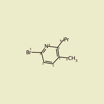 Cc1ccc(Br)nc1C(C)C